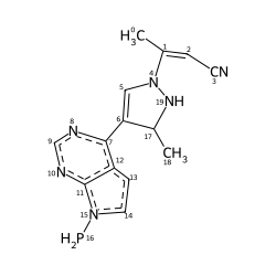 C/C(=C/C#N)N1C=C(c2ncnc3c2ccn3P)C(C)N1